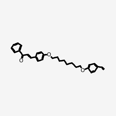 C=Cc1ccc(OCCCCCCCCOc2ccc(C=CC(=O)c3ccccc3)cc2)cc1